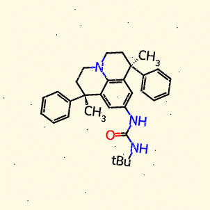 CC(C)(C)NC(=O)Nc1cc2c3c(c1)[C@](C)(c1ccccc1)CCN3CC[C@@]2(C)c1ccccc1